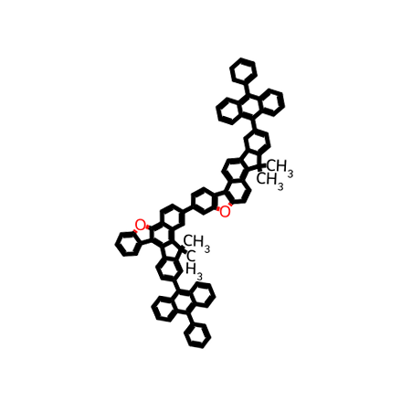 CC1(C)C2=CC=C(c3c4ccccc4c(C4=CC=CCC4)c4ccccc34)CC2c2ccc3c(ccc4oc5cc(-c6ccc7c(c6)c6c(c8c9ccccc9oc78)-c7ccc(-c8c9ccccc9c(-c9ccccc9)c9ccccc89)cc7C6(C)C)ccc5c43)c21